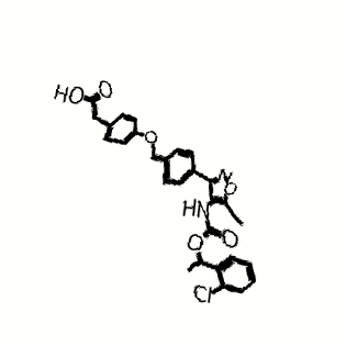 Cc1onc(-c2ccc(COc3ccc(CC(=O)O)cc3)cc2)c1NC(=O)OC(C)c1ccccc1Cl